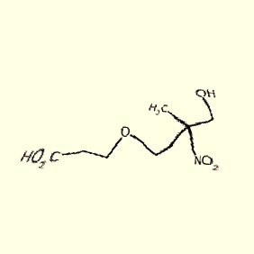 CC(CO)(COCCC(=O)O)[N+](=O)[O-]